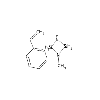 C=Cc1ccccc1.CN1[SiH2]N[SiH2]1